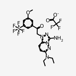 CCN(CC)c1ccc2n(n1)c(N)n[n+]2CC(=O)c1cc(OC)cc(S(F)(F)(F)(F)F)c1.O=C([O-])C(F)(F)F